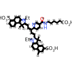 CCN1/C(=C/C=C(/C=C/C2=[N+](CC)c3ccc4c(C)cc(S(=O)(=O)O)cc4c3C2(C)C)c2ccc(C(=O)NCCCCCC(=O)O)cn2)C(C)(C)c2c1ccc1c(S(=O)(=O)O)cccc21